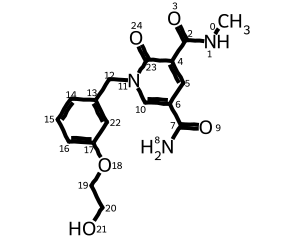 CNC(=O)c1cc(C(N)=O)cn(Cc2cccc(OCCO)c2)c1=O